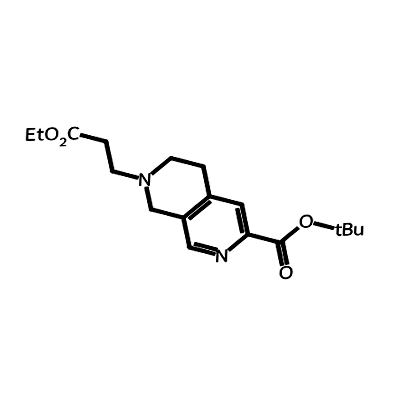 CCOC(=O)CCN1CCc2cc(C(=O)OC(C)(C)C)ncc2C1